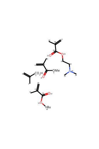 C=C(C)C(=O)O.C=C(C)C(=O)OC.C=C(C)C(=O)OCCCC.C=C(C)C(=O)OCCN(C)C